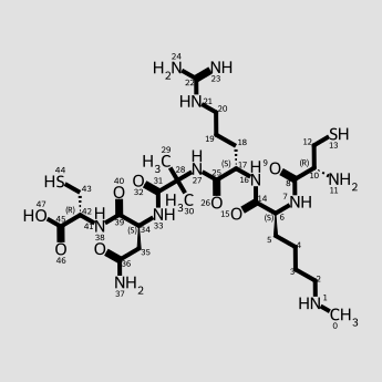 CNCCCC[C@H](NC(=O)[C@@H](N)CS)C(=O)N[C@@H](CCCNC(=N)N)C(=O)NC(C)(C)C(=O)N[C@@H](CC(N)=O)C(=O)N[C@@H](CS)C(=O)O